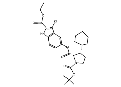 CCOC(=O)c1[nH]c2ccc(NC(=O)[C@@H]3[C@H](C4CCCCC4)CCN3C(=O)OC(C)(C)C)cc2c1Cl